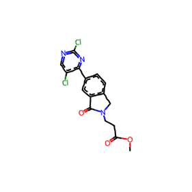 COC(=O)CCN1Cc2ccc(-c3nc(Cl)ncc3Cl)cc2C1=O